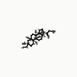 C[C@]12CC[C@H]3[C@@H](CC[C@H]4C[C@](O)(CF)CC[C@@H]43)[C@@H]1CC[C@@H]2C(=O)CO